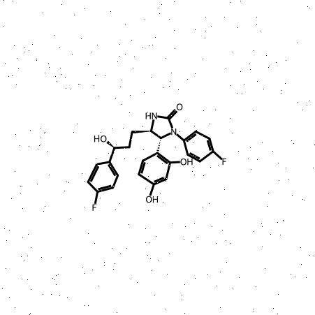 O=C1N[C@H](CC[C@H](O)c2ccc(F)cc2)[C@@H](c2ccc(O)cc2O)N1c1ccc(F)cc1